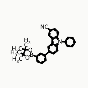 CC1(C)OB(c2cccc(-c3ccc4c(c3)c3cc(C#N)ccc3n4-c3ccccc3)c2)OC1(C)C